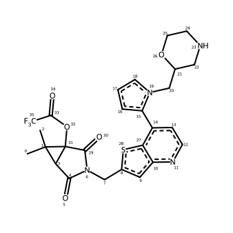 CC1(C)C2C(=O)N(Cc3cc4nccc(-c5cccn5CC5CNCCO5)c4s3)C(=O)C21OC(=O)C(F)(F)F